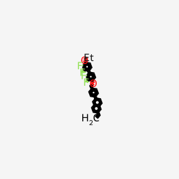 C=CC1CCC2CC(c3ccc(COc4ccc(-c5ccc(OCC)c(F)c5F)c(F)c4F)cc3)CCC2C1